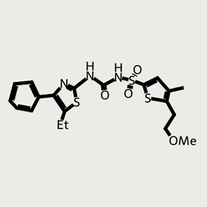 CCc1sc(NC(=O)NS(=O)(=O)c2cc(C)c(CCOC)s2)nc1-c1ccccc1